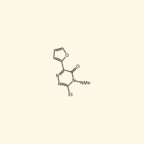 CCc1nnc(-c2ccco2)c(=O)n1NC